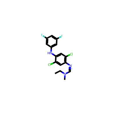 CCN(C)/C=N\c1cc(Cl)c(Nc2cc(F)cc(F)c2)cc1Cl